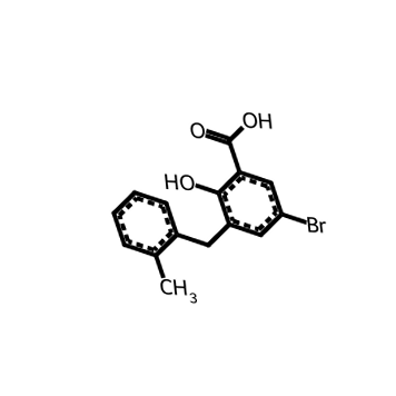 Cc1ccccc1Cc1cc(Br)cc(C(=O)O)c1O